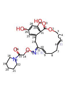 O=C1OCC/C=C/CC/C=C/C(=N/OCC(=O)N2CCCCC2)Cc2cc(O)cc(O)c21